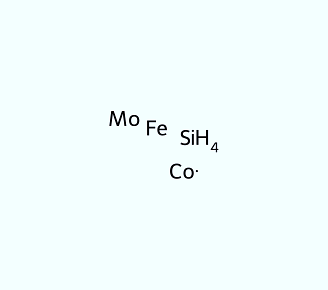 [Co].[Fe].[Mo].[SiH4]